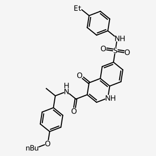 CCCCOc1ccc(C(C)NC(=O)c2c[nH]c3ccc(S(=O)(=O)Nc4ccc(CC)cc4)cc3c2=O)cc1